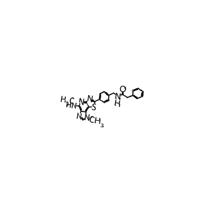 CNc1nc2nc(-c3ccc(CNC(=O)Cc4ccccc4)cc3)sc2c2c1ncn2C